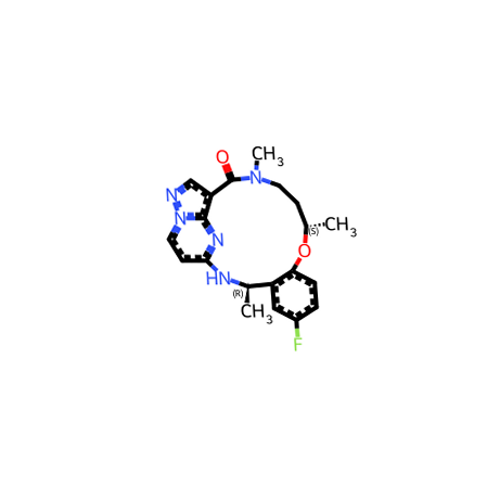 C[C@H]1CCN(C)C(=O)c2cnn3ccc(nc23)N[C@H](C)c2cc(F)ccc2O1